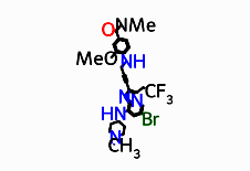 CNC(=O)c1ccc(NCC#Cc2nc3c(NC4CCN(C)CC4)cc(Br)cn3c2CC(F)(F)F)c(OC)c1